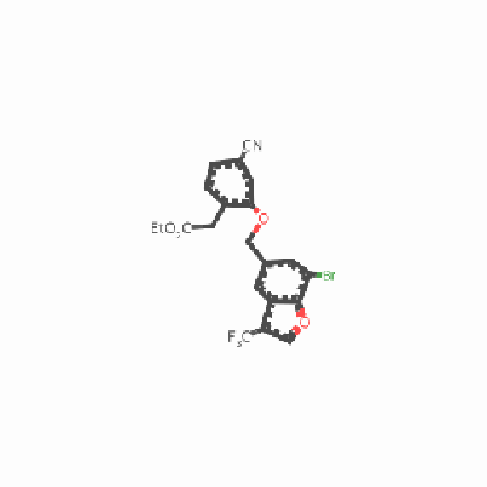 CCOC(=O)Cc1ccc(C#N)cc1OCc1cc(Br)c2occ(C(F)(F)F)c2c1